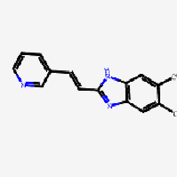 Cc1cc2nc(/C=C/c3cccnc3)[nH]c2cc1C